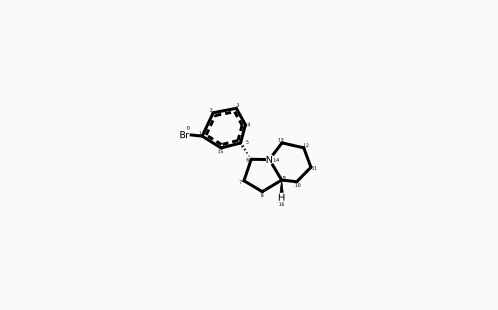 Brc1cccc([C@H]2CC[C@H]3CCCCN32)c1